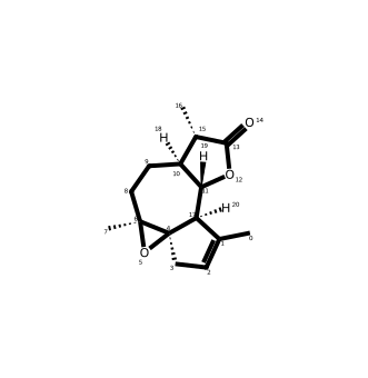 CC1=CC[C@]23O[C@@]2(C)CC[C@@H]2[C@H](OC(=O)[C@H]2C)[C@@H]13